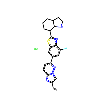 Cc1cn2nc(-c3cc(F)c4nc(C5CCCC6CCNC65)sc4c3)ccc2n1.Cl